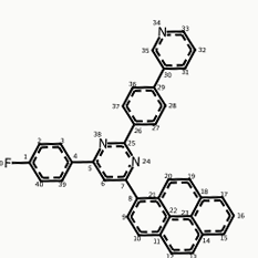 Fc1ccc(-c2cc(-c3ccc4ccc5cccc6ccc3c4c56)nc(-c3ccc(-c4cccnc4)cc3)n2)cc1